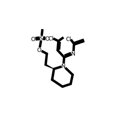 C=C(Cl)/N=C(\C=C(/C)Cl)N1CCCC[C@H]1CCOS(C)(=O)=O